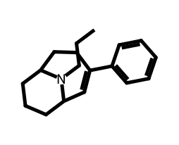 CCCN1C2C=C(c3ccccc3)CCC1CCC2